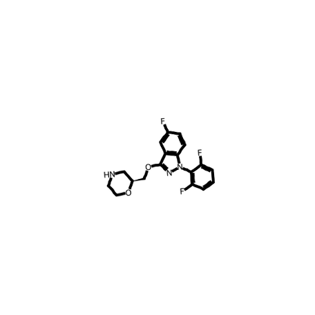 Fc1ccc2c(c1)c(OC[C@@H]1CNCCO1)nn2-c1c(F)cccc1F